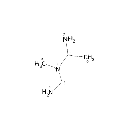 CC(N)N(C)CN